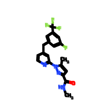 CNC(=O)c1cc(C)n(-c2cc(Cc3cc(F)cc(C(F)(F)F)c3)ccn2)n1